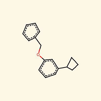 c1ccc(COc2cccc(C3CCC3)c2)cc1